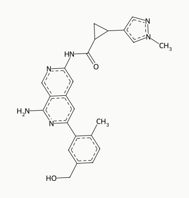 Cc1ccc(CO)cc1-c1cc2cc(NC(=O)C3CC3c3cnn(C)c3)ncc2c(N)n1